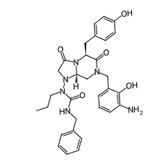 CCCN(C(=O)NCc1ccccc1)N1CC(=O)N2[C@@H](Cc3ccc(O)cc3)C(=O)N(Cc3cccc(N)c3O)C[C@@H]21